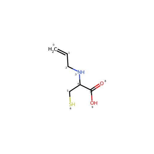 C=CCNC(CS)C(=O)O